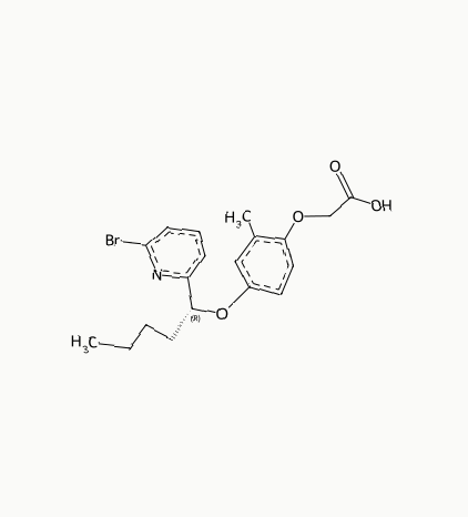 CCCC[C@@H](Oc1ccc(OCC(=O)O)c(C)c1)c1cccc(Br)n1